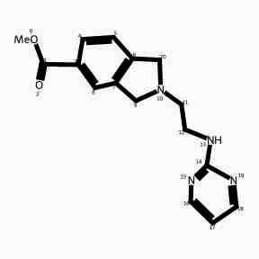 COC(=O)c1ccc2c(c1)CN(CCNc1ncccn1)C2